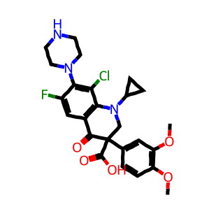 COc1ccc(C2(C(=O)O)CN(C3CC3)c3c(cc(F)c(N4CCNCC4)c3Cl)C2=O)cc1OC